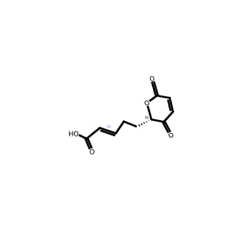 O=C(O)/C=C/CC[C@@H]1OC(=O)C=CC1=O